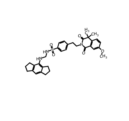 COc1ccc2c(c1)C(=O)N(CCc1ccc(S(=O)(=O)NCNc3c4c(cc5c3CCC5)CCC4)cc1)C(=O)C2(C)C